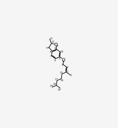 CC(=CCOc1ccc2c(c1)OC(C)C2)CCCC(C)C